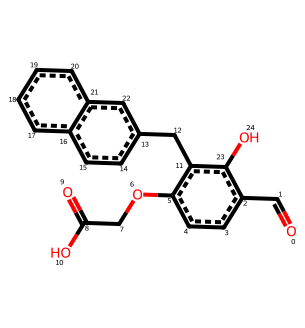 O=Cc1ccc(OCC(=O)O)c(Cc2ccc3ccccc3c2)c1O